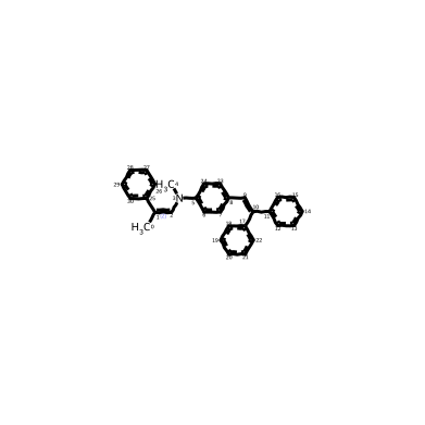 C/C(=C/N(C)c1ccc(C=C(c2ccccc2)c2ccccc2)cc1)c1ccccc1